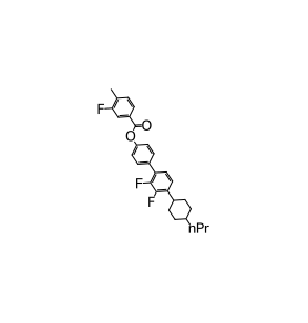 CCCC1CCC(c2ccc(-c3ccc(OC(=O)c4ccc(C)c(F)c4)cc3)c(F)c2F)CC1